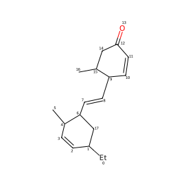 CCC1C=CC(C)C(C=CC2C=CC(=O)CC2C)C1